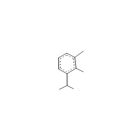 CCCCCCC(C#N)c1cccc(Cl)c1C